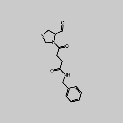 O=C[C@@H]1CSCN1C(=O)CCC(=O)NCc1ccccc1